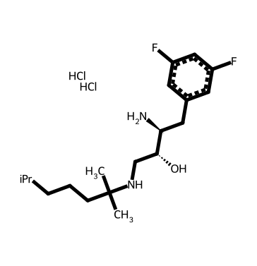 CC(C)CCCC(C)(C)NC[C@@H](O)[C@@H](N)Cc1cc(F)cc(F)c1.Cl.Cl